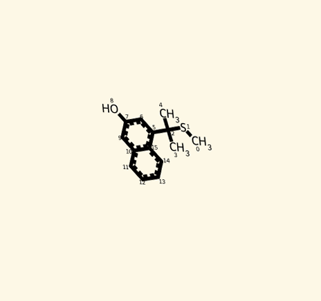 CSC(C)(C)c1cc(O)cc2ccccc12